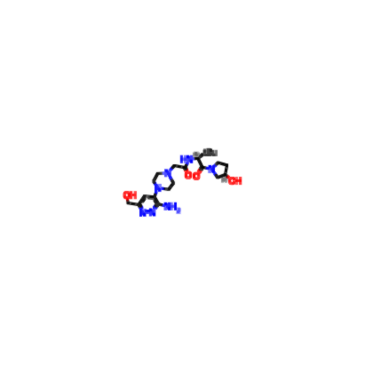 CC(C)(C)[C@H](NC(=O)CN1CCN(c2cc(CO)nnc2N)CC1)C(=O)N1CC[C@@H](O)C1